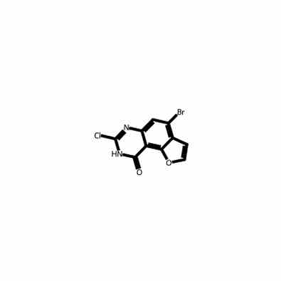 O=c1[nH]c(Cl)nc2cc(Br)c3ccoc3c12